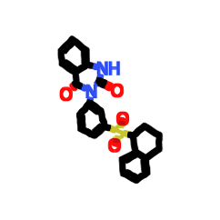 O=c1[nH]c2ccccc2c(=O)n1-c1cccc(S(=O)(=O)C2CCCc3ccccc32)c1